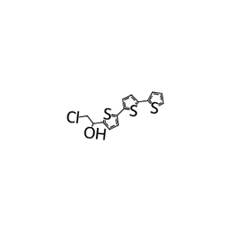 OC(CCl)c1ccc(-c2ccc(-c3cccs3)s2)s1